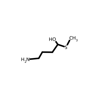 CSC(O)CCCN